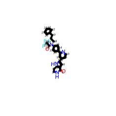 O=C1NCCc2[nH]c(-c3ccnc(-c4ccc(N(CCCc5ccccc5)C(=O)C(F)(F)F)cc4)c3)cc21